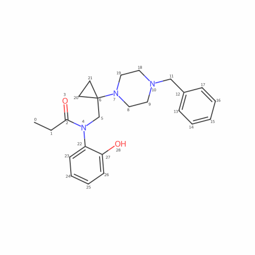 CCC(=O)N(CC1(N2CCN(Cc3ccccc3)CC2)CC1)c1ccccc1O